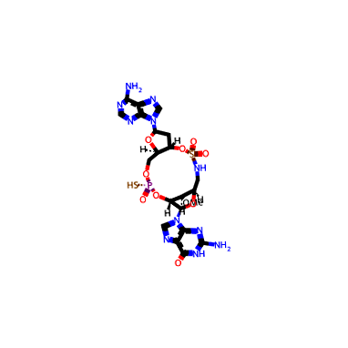 CO[C@H]1[C@H]2O[P@](=O)(S)OC[C@H]3OC(n4cnc5c(N)ncnc54)C[C@@H]3OS(=O)(=O)NC[C@H]1O[C@H]2n1cnc2c(=O)[nH]c(N)nc21